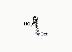 CCCCCCCC/C=C\CCCCCCC[C@H](CC(=O)O)OC1CCCCO1